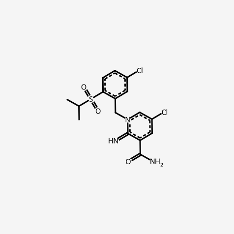 CC(C)S(=O)(=O)c1ccc(Cl)cc1Cn1cc(Cl)cc(C(N)=O)c1=N